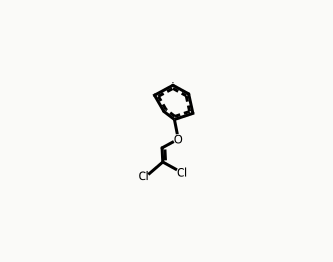 ClC(Cl)=COc1cc[c]cc1